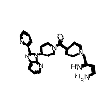 N=C(/C=C\N)CN1CCC(C(=O)N2CCC(n3c(-c4ccccn4)nc4cccnc43)CC2)CC1